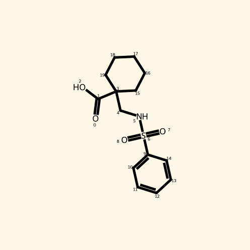 O=C(O)C1(CNS(=O)(=O)c2ccccc2)CCCCC1